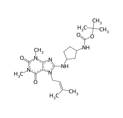 CC(C)=CCn1c(NC2CCC(NC(=O)OC(C)(C)C)C2)nc2c1c(=O)n(C)c(=O)n2C